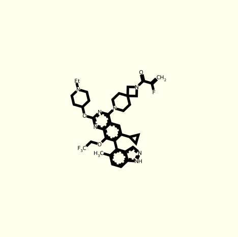 C=C(F)C(=O)N1CC2(CCN(c3nc(OC4CCN(CC)CC4)nc4c(OCC(F)(F)F)c(-c5c(C)ccc6[nH]ncc56)c(C5CC5)cc34)CC2)C1